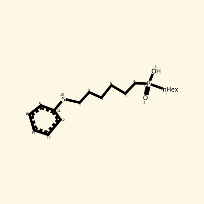 CCCCCCP(=O)(O)CCCCCCSc1ccccc1